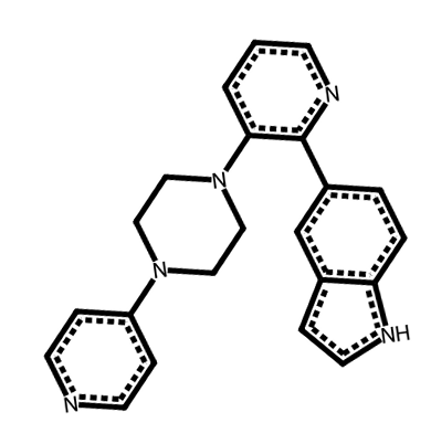 c1cnc(-c2ccc3[nH]ccc3c2)c(N2CCN(c3ccncc3)CC2)c1